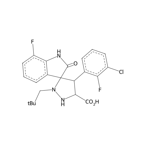 CC(C)(C)CN1NC(C(=O)O)C(c2cccc(Cl)c2F)C12C(=O)Nc1c(F)cccc12